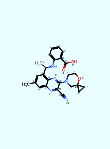 Cc1cc([C@@H](C)Nc2ccccc2C(=O)O)c2nc(N3CCOC4(CC4)C3)c(C#N)nc2c1